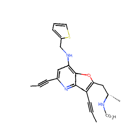 CC#Cc1cc(NCc2cccs2)c2oc(C[C@H](C)NC(=O)O)c(C#CC)c2n1